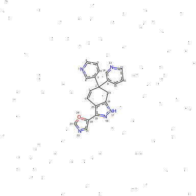 C1=CC(c2cccnc2)(c2cccnc2)Cc2[nH]nc(-c3cnco3)c21